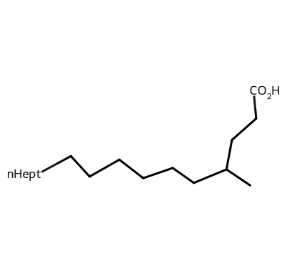 CCCCCCCCCCCCCC(C)CCC(=O)O